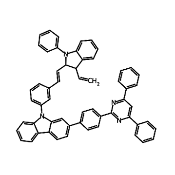 C=CC1c2ccccc2N(c2ccccc2)C1/C=C/c1cccc(-n2c3ccccc3c3ccc(-c4ccc(-c5nc(-c6ccccc6)cc(-c6ccccc6)n5)cc4)cc32)c1